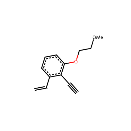 C#Cc1c([C]=C)cccc1OCCOC